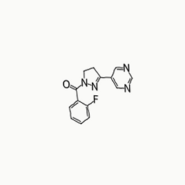 O=C(c1ccccc1F)N1CCC(c2cncnc2)=N1